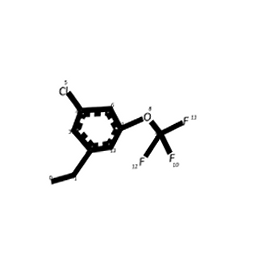 CCc1cc(Cl)cc(OC(F)(F)F)c1